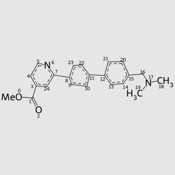 COC(=O)c1ccnc(-c2ccc(-c3ccc(CN(C)C)cc3)cc2)c1